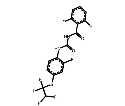 O=C(NC(=O)c1c(F)cccc1F)Nc1ccc(SC(F)(F)C(F)F)cc1F